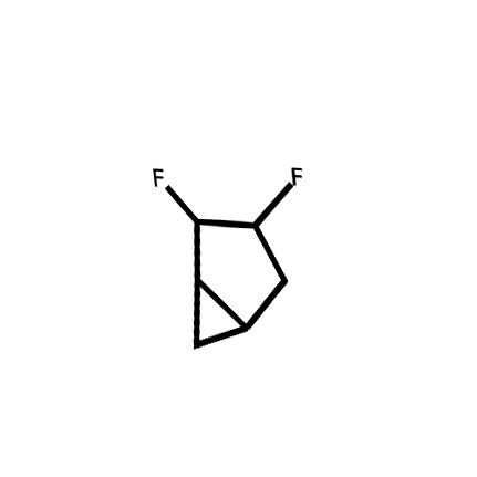 FC1CC2CC2C1F